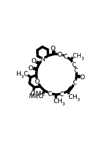 COC1CC(C)CC(C)=CCC(=O)CCC(C)COC(=O)C2CCCCN2C(=O)C(=O)C2OC1C(OC)CC2C